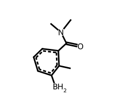 Bc1cccc(C(=O)N(C)C)c1C